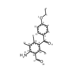 CCOc1ccc(C(=O)c2c(C)c(C)c(N)c(C=O)c2C)cc1